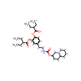 CCC(CC)C(=O)Oc1ccc(CCNC(=O)OC2CCC3CCCCN3C2)cc1OC(=O)C(CC)CC